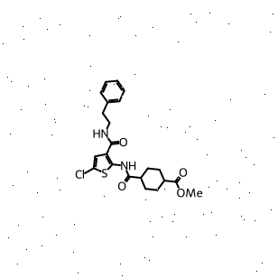 COC(=O)C1CCC(C(=O)Nc2sc(Cl)cc2C(=O)NCCc2ccccc2)CC1